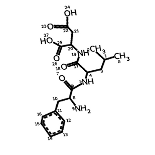 CC(C)CC(NC(=O)C(N)Cc1ccccc1)C(=O)NC(CC(=O)O)C(=O)O